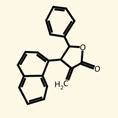 C=C1C(=O)OC(c2ccccc2)C1c1cccc2ccccc12